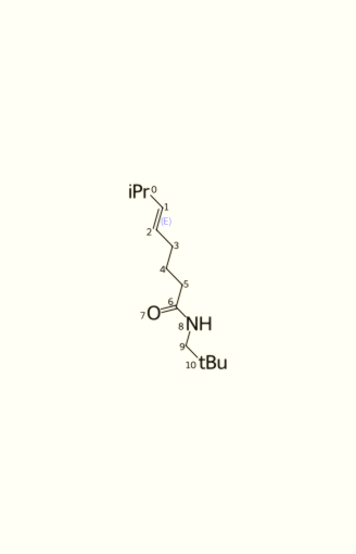 CC(C)/C=C/CCCC(=O)NCC(C)(C)C